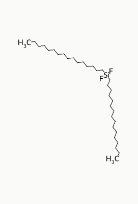 CCCCCCCCCCCCCCCC[Si](F)(F)CCCCCCCCCCCCCCCC